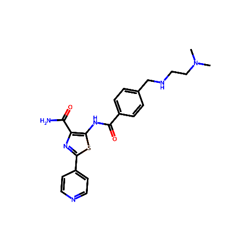 CN(C)CCNCc1ccc(C(=O)Nc2sc(-c3ccncc3)nc2C(N)=O)cc1